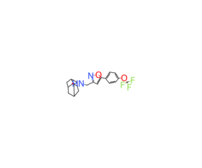 FC(F)(F)Oc1ccc(-c2cc(CNC34CC5CC(CC(C5)C3)C4)no2)cc1